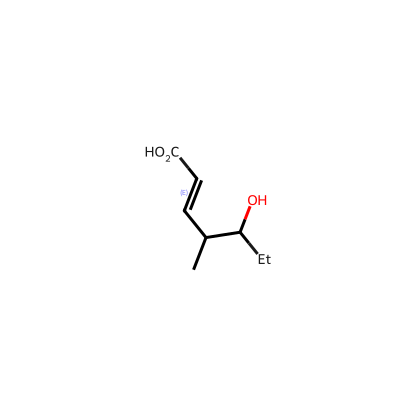 CCC(O)C(C)/C=C/C(=O)O